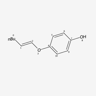 CCCCC=COc1ccc(O)cc1